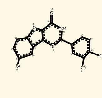 N#Cc1cc(-c2nc3c(oc4ccc(Br)cc43)c(=O)[nH]2)ccc1F